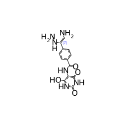 N/C=C(\NN)c1ccc(C(=O)Nc2c(O)[nH]c(=O)[nH]c2=O)cc1